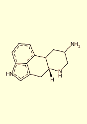 NC1CN[C@@H]2Cc3c[nH]c4cccc(c34)C2C1